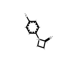 O=C1[CH]CN1c1ccc(F)cc1